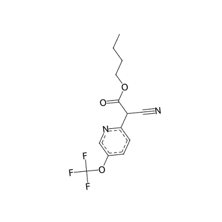 CCCCOC(=O)C(C#N)c1ccc(OC(F)(F)F)cn1